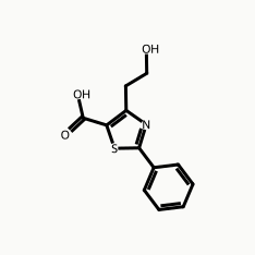 O=C(O)c1sc(-c2ccccc2)nc1CCO